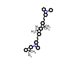 CC1(C)c2ccccc2-c2ccc(-n3c4ccccc4c4cc(/C=C/c5ccc6c(c5)C(C)(C)c5cc7c(cc5-6)C(C)(C)c5cc(/C=C/c6ccc8c(c6)c6ccccc6n8-c6ccccc6)ccc5-7)ccc43)cc21